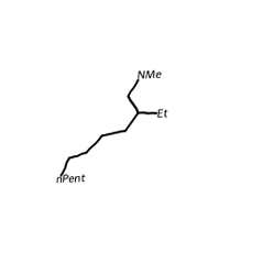 CCCCCCCCCC(CC)CNC